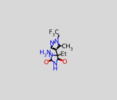 CCC1(c2cnn(CC(F)(F)F)c2C)C(=O)NC(=O)N1N